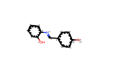 Oc1ccccc1N=Cc1ccc(Br)cc1